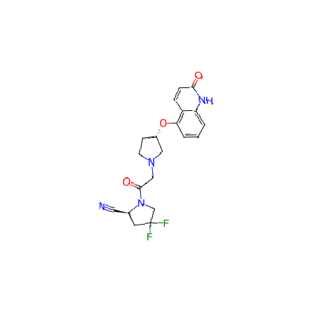 N#C[C@@H]1CC(F)(F)CN1C(=O)CN1CC[C@H](Oc2cccc3[nH]c(=O)ccc23)C1